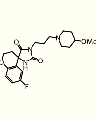 COC1CCN(CCCN2C(=O)NC3(CCOc4ccc(F)cc43)C2=O)CC1